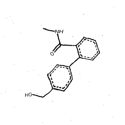 CNC(=O)c1[c]cccc1-c1ccc(CO)cc1